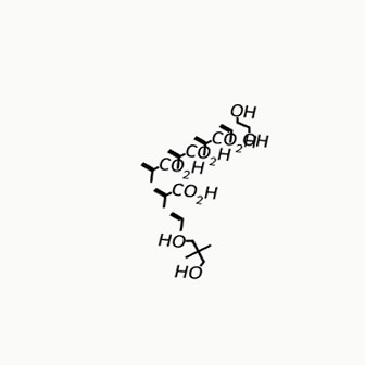 C=C(C)C(=O)O.C=C(C)C(=O)O.C=C(C)C(=O)O.C=C(C)C(=O)O.C=CC.C=CC.CC(C)(CO)CO.OCCO